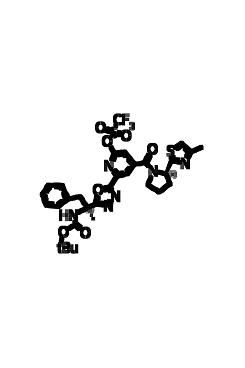 Cc1csc([C@H]2CCCN2C(=O)c2cc(OS(=O)(=O)C(F)(F)F)nc(-c3nnc([C@](C)(Cc4ccccc4)NC(=O)OC(C)(C)C)o3)c2)n1